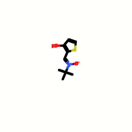 CC(C)(C)[N+]([O-])=Cc1sccc1O